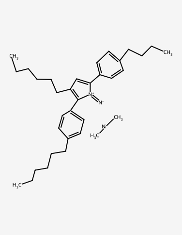 CCCCCCC1=C(c2ccc(CCCCCC)cc2)[N+](=[N-])C(c2ccc(CCCC)cc2)=C1.[CH3][Ni][CH3]